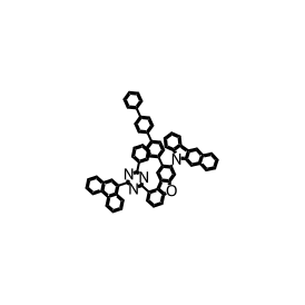 c1ccc(-c2ccc(-c3ccc(-c4cc5c(cc4-n4c6ccccc6c6cc7ccccc7cc64)oc4cccc(-c6nc(-c7ccccc7)nc(-c7cc8ccccc8c8ccccc78)n6)c45)cc3)cc2)cc1